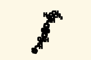 CC(C)(C)OC(=O)NCC1CCN(S(=O)(=O)c2ccc(NC(=O)NCCCc3cccs3)cc2)CC1